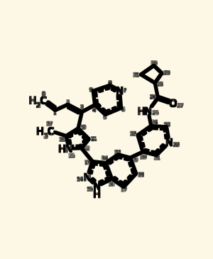 C=C/C=C(/c1ccncc1)c1cc(-c2n[nH]c3ccc(-c4cncc(NC(=O)C5CCC5)c4)cc23)[nH]c1C